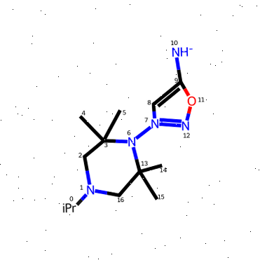 CC(C)N1CC(C)(C)N([n+]2cc([NH-])on2)C(C)(C)C1